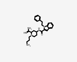 N=C(N)C1CC(NC(=O)c2cc3ccccc3n2CCc2ccccc2)CCN1CCCN